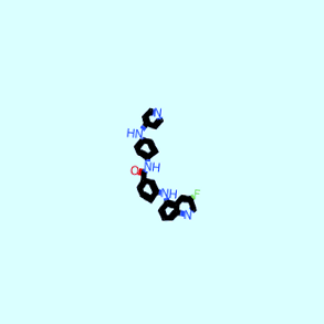 O=C(Nc1ccc(Nc2ccncc2)cc1)c1cccc(Nc2cccc3ncc(F)cc23)c1